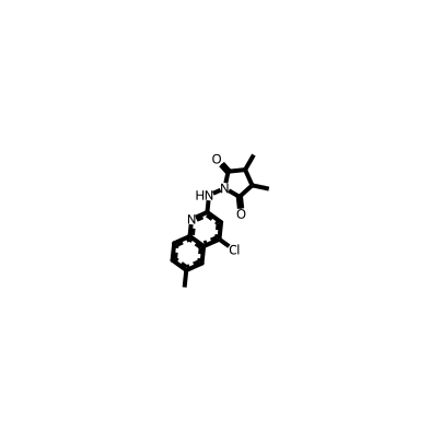 Cc1ccc2nc(NN3C(=O)C(C)C(C)C3=O)cc(Cl)c2c1